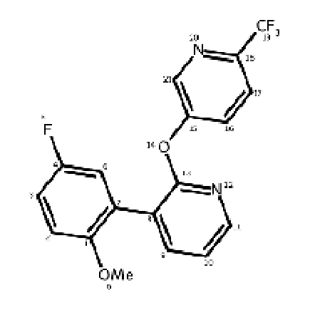 COc1ccc(F)cc1-c1cccnc1Oc1ccc(C(F)(F)F)nc1